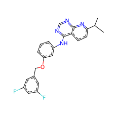 CC(C)c1ccc2c(Nc3cccc(OCc4cc(F)cc(F)c4)c3)ncnc2n1